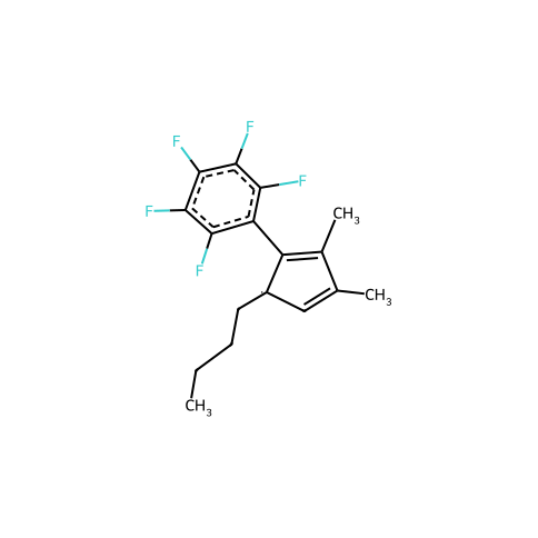 CCCC[C]1C=C(C)C(C)=C1c1c(F)c(F)c(F)c(F)c1F